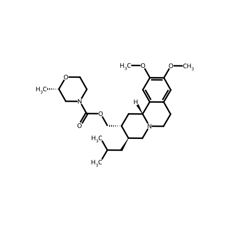 COc1cc2c(cc1OC)[C@H]1C[C@@H](COC(=O)N3CCO[C@@H](C)C3)[C@H](CC(C)C)CN1CC2